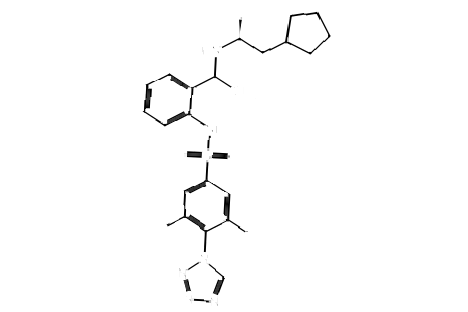 CC(N[C@@H](C)CC1CCCC1)c1ccccc1NS(=O)(=O)c1cc(F)c(-n2cnnn2)c(F)c1